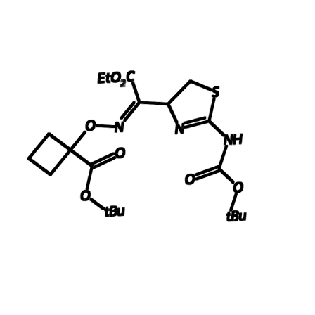 CCOC(=O)/C(=N\OC1(C(=O)OC(C)(C)C)CCC1)C1CSC(NC(=O)OC(C)(C)C)=N1